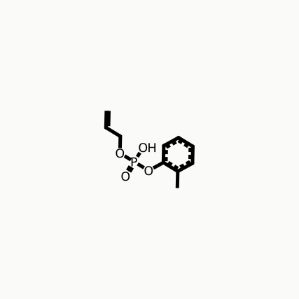 C=CCOP(=O)(O)Oc1ccccc1C